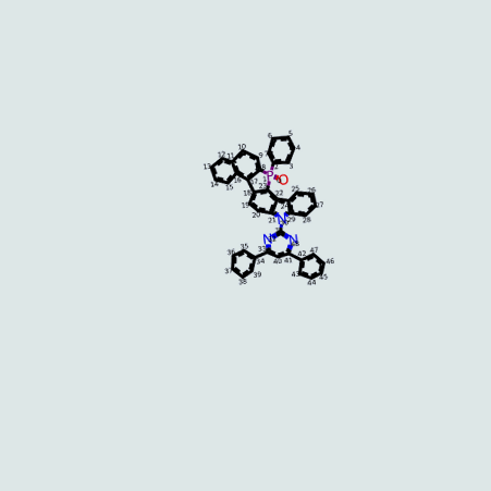 O=P1(c2ccccc2)c2ccc3ccccc3c2-c2ccc3c(c21)c1ccccc1n3-c1nc(-c2ccccc2)cc(-c2ccccc2)n1